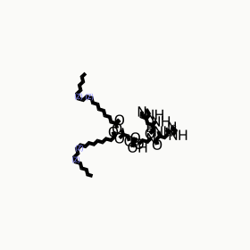 CCCCC/C=C\C/C=C\CCCCCCCC(=O)OCC(COP(=O)(O)OCCNC(=O)C(Cc1cnc[nH]1)NC(=O)C(N)Cc1cnc[nH]1)OC(=O)CCCCCCC/C=C\C/C=C\CCCCC